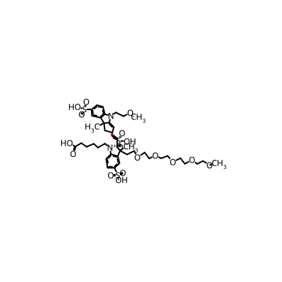 COCCOCCOCCOCCOCCC1(C)C(/C=C/C=C2/N(CCOC)c3ccc(S(=O)(=O)O)cc3C2(C)CCCS(=O)(=O)O)=[N+](CCCCCC(=O)O)c2ccc(S(=O)(=O)O)cc21